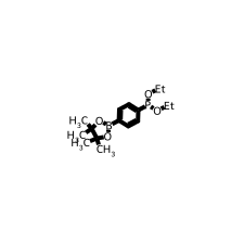 CCOP(OCC)c1ccc(B2OC(C)(C)C(C)(C)O2)cc1